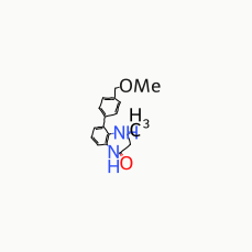 COCc1ccc(-c2cccc3c2N[C@H](C)CC(=O)N3)cc1